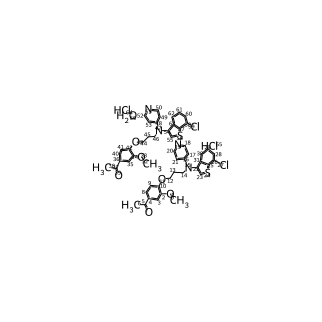 COc1cc(C(C)=O)ccc1OCCCN(c1ccncc1)c1csc2c(Cl)cccc12.COc1cc(C(C)=O)ccc1OCCCN(c1ccncc1)c1csc2c(Cl)cccc12.Cl.Cl.O